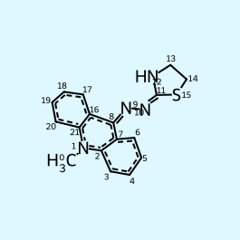 Cn1c2ccccc2c(=NN=C2NCCS2)c2ccccc21